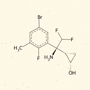 Cc1cc(Br)cc([C@](N)(C(F)F)[C@@H]2C[C@@H]2O)c1F